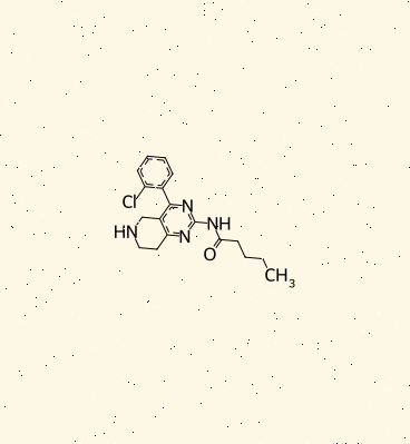 CCCCC(=O)Nc1nc2c(c(-c3ccccc3Cl)n1)CNCC2